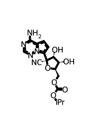 CC(C)OC(=O)OC[C@H]1O[C@@](C#N)(c2ccc3c(N)ncnn23)[C@H](O)[C@@H]1O